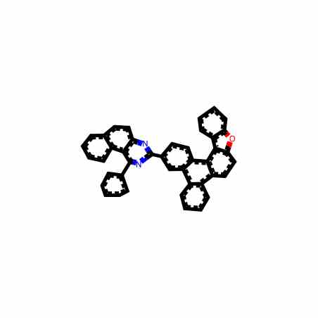 c1ccc(-c2nc(-c3ccc4c(c3)c3ccccc3c3ccc5oc6ccccc6c5c34)nc3ccc4ccccc4c23)cc1